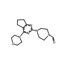 O=CN1CCN(c2nc3c(c(N4CCOCC4)n2)CCC3)CC1